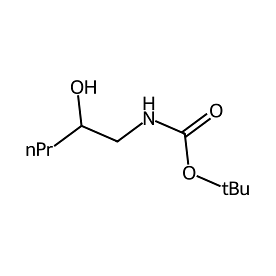 CCCC(O)CNC(=O)OC(C)(C)C